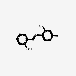 O=C(O)c1ccccc1C=Nc1ccc(F)cc1C(F)(F)F